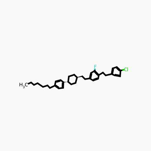 CCCCCCCc1ccc([C@H]2CC[C@H](CCc3ccc(CCc4ccc(Cl)cc4)c(F)c3)CC2)cc1